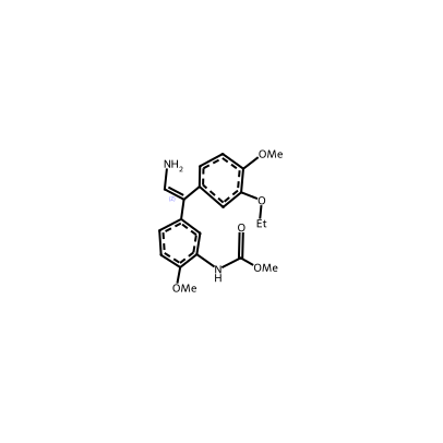 CCOc1cc(/C(=C\N)c2ccc(OC)c(NC(=O)OC)c2)ccc1OC